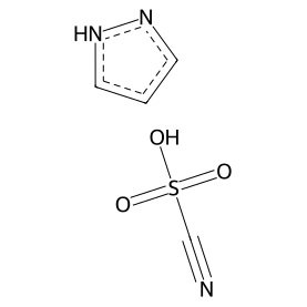 N#CS(=O)(=O)O.c1cn[nH]c1